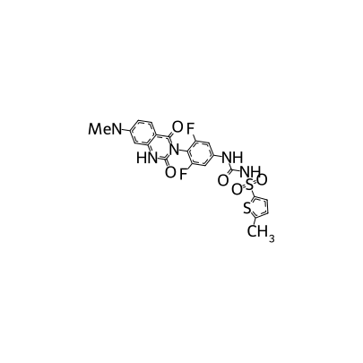 CNc1ccc2c(=O)n(-c3c(F)cc(NC(=O)NS(=O)(=O)c4ccc(C)s4)cc3F)c(=O)[nH]c2c1